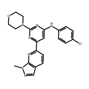 Cn1ncc2ccc(-c3cc(Nc4ccc(Cl)cc4)nc(N4CCOCC4)n3)nc21